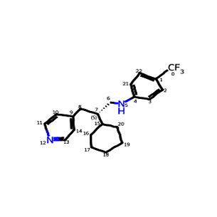 FC(F)(F)c1ccc(NC[C@@H](Cc2ccncc2)C2CCCCC2)cc1